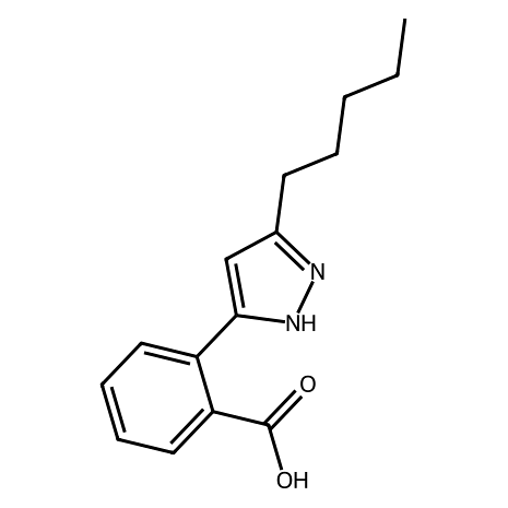 CCCCCc1cc(-c2ccccc2C(=O)O)[nH]n1